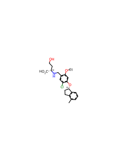 CCOc1cc(O[C@H]2CCc3c(C)cccc32)c(Cl)cc1CN[C@@H](CCO)C(=O)O